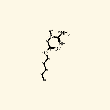 CCCCCOC(=O)CN(C)C(=N)N